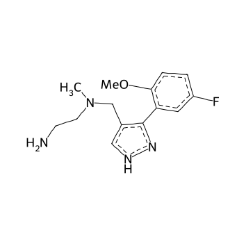 COc1ccc(F)cc1-c1n[nH]cc1CN(C)CCN